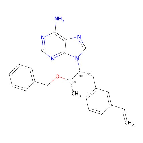 C=Cc1cccc(C[C@H]([C@H](C)OCc2ccccc2)n2cnc3c(N)ncnc32)c1